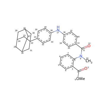 COC(=O)c1ccccc1N(C)C(=O)c1ccc(Nc2ccc(C34CC5CC(CC(C5)C3)C4)cc2)cc1